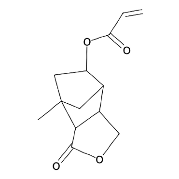 C=CC(=O)OC1CC2(C)CC1C1COC(=O)C12